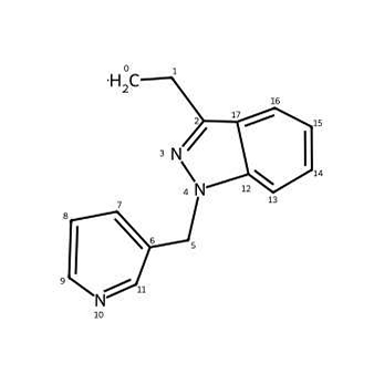 [CH2]Cc1nn(Cc2cccnc2)c2ccccc12